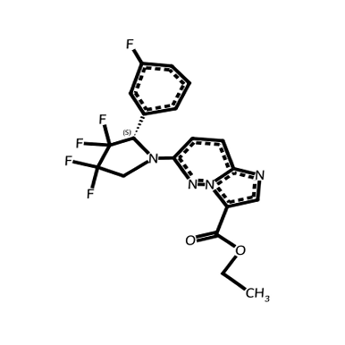 CCOC(=O)c1cnc2ccc(N3CC(F)(F)C(F)(F)[C@@H]3c3cccc(F)c3)nn12